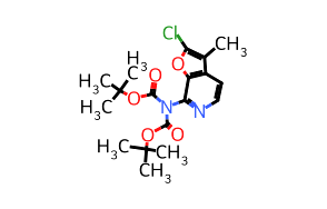 Cc1c(Cl)oc2c(N(C(=O)OC(C)(C)C)C(=O)OC(C)(C)C)nccc12